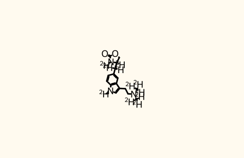 [2H]N1C(=O)OC[C@]1([2H])C([2H])([2H])c1ccc2c(c1)c(CCN(C([2H])([2H])[2H])C([2H])([2H])[2H])cn2[2H]